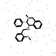 COc1ccccc1CN[C@@H]1c2ccccc2CN(C)[C@H]1c1ccccc1